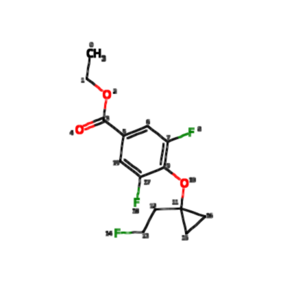 CCOC(=O)c1cc(F)c(OC2(CCF)CC2)c(F)c1